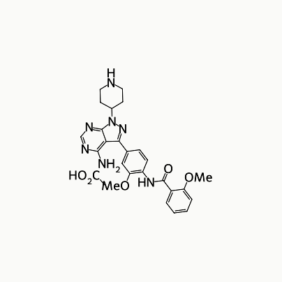 CC(=O)O.COc1cc(-c2nn(C3CCNCC3)c3ncnc(N)c23)ccc1NC(=O)c1ccccc1OC